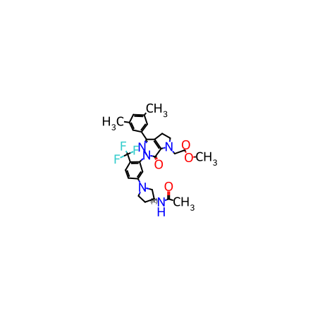 COC(=O)CN1CCc2c(-c3cc(C)cc(C)c3)nn(-c3cc(N4CC[C@@H](NC(C)=O)C4)ccc3C(F)(F)F)c(=O)c21